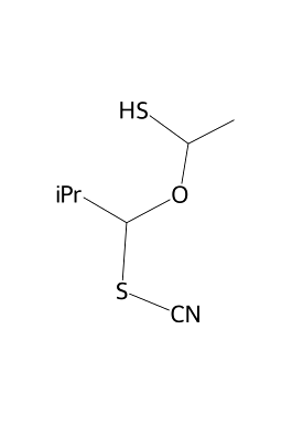 CC(S)OC(SC#N)C(C)C